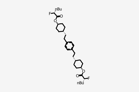 CCCC[C@@H](F)C(=O)O[C@H]1CC[C@H](CCc2ccc(CC[C@H]3CC[C@H](OC(=O)[C@H](F)CCCC)CC3)cc2)CC1